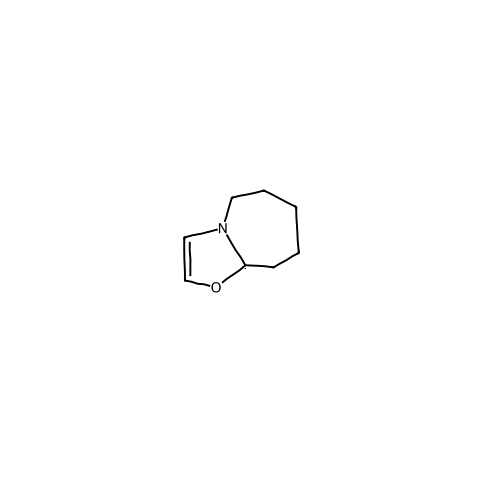 C1=CN2CCCCC[C]2O1